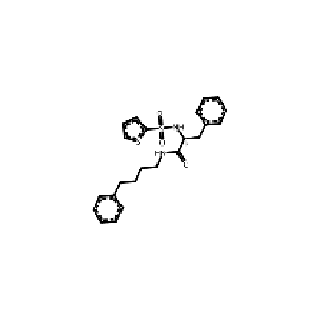 O=C(NCCCCc1ccccc1)[C@H](Cc1cc[c]cc1)NS(=O)(=O)c1cccs1